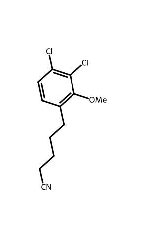 COc1c(CCCCC#N)ccc(Cl)c1Cl